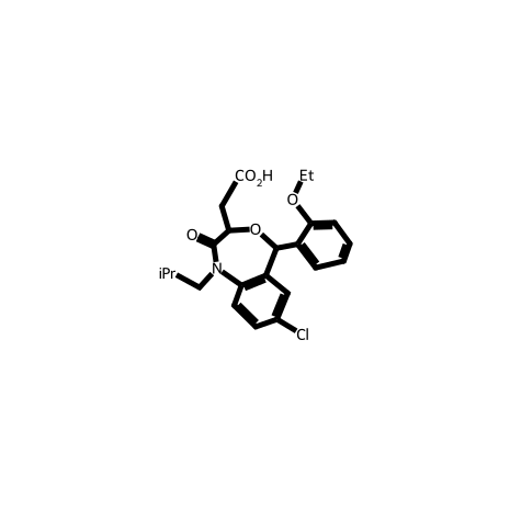 CCOc1ccccc1C1OC(CC(=O)O)C(=O)N(CC(C)C)c2ccc(Cl)cc21